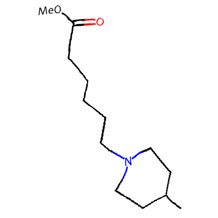 COC(=O)CCCCCN1CCC(C)CC1